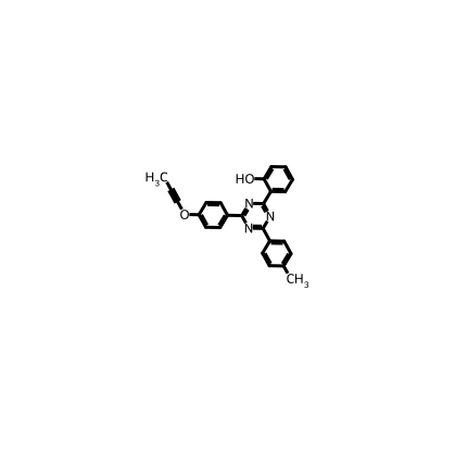 CC#COc1ccc(-c2nc(-c3ccc(C)cc3)nc(-c3ccccc3O)n2)cc1